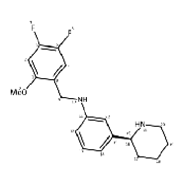 COc1cc(F)c(F)cc1CNc1cccc([C@@H]2CCCCN2)c1